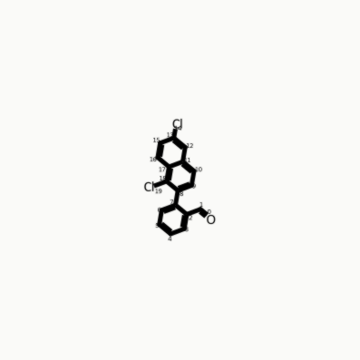 O=Cc1ccccc1-c1ccc2cc(Cl)ccc2c1Cl